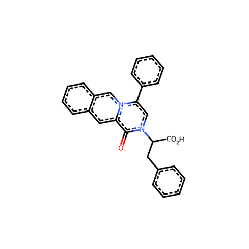 O=C(O)C(Cc1ccccc1)n1cc(-c2ccccc2)[n+]2cc3ccccc3cc2c1=O